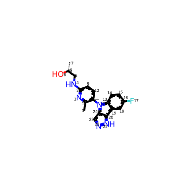 Cc1nc(NC[C@@H](C)O)ccc1-n1c2ccc(F)cc2c2[nH]ncc21